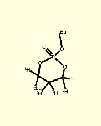 [1H]C1(C(C)(C)C)OP(=O)(OC(C)(C)C)OC([3H])([3H])C1([2H])[2H]